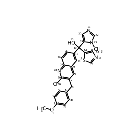 COc1ccc(Cc2cc3cc(C(O)(c4cncs4)c4cncn4C)ccc3nc2Cl)cc1